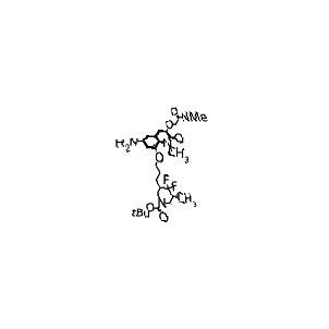 CNC(=O)COc1cc2cc(N)cc(OCCC[C@@H]3CN(C(=O)OC(C)(C)C)C[C@H](C)C3(F)F)c2n(C)c1=O